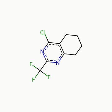 FC(F)(F)c1nc(Cl)c2c(n1)CCCC2